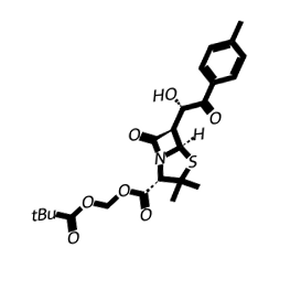 Cc1ccc(C(=O)[C@@H](O)[C@@H]2C(=O)N3[C@@H]2SC(C)(C)[C@@H]3C(=O)OCOC(=O)C(C)(C)C)cc1